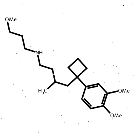 COCCCNCCC(C)CC1(c2ccc(OC)c(OC)c2)CCC1